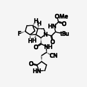 COC(=O)NC(C(=O)N1C[C@@H]2[C@H]3C[C@@H]([C@@H]2[C@H]1C(=O)N[C@H](C#N)C[C@@H]1CCNC1=O)[C@H](F)C3)C(C)(C)C